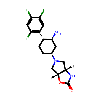 N[C@H]1C[C@@H](N2C[C@@H]3NC(=O)O[C@@H]3C2)CC[C@@H]1c1cc(F)c(F)cc1F